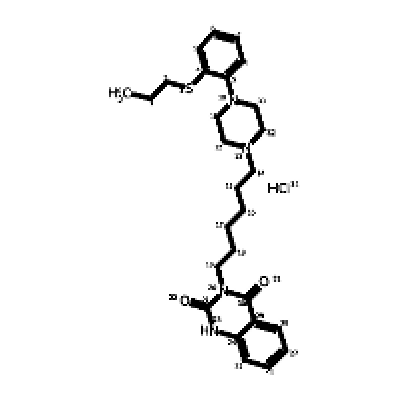 CCCSc1ccccc1N1CCN(CCCCCCn2c(=O)[nH]c3ccccc3c2=O)CC1.Cl